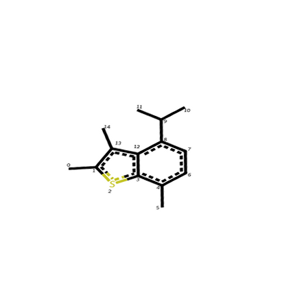 Cc1sc2c(C)ccc(C(C)C)c2c1C